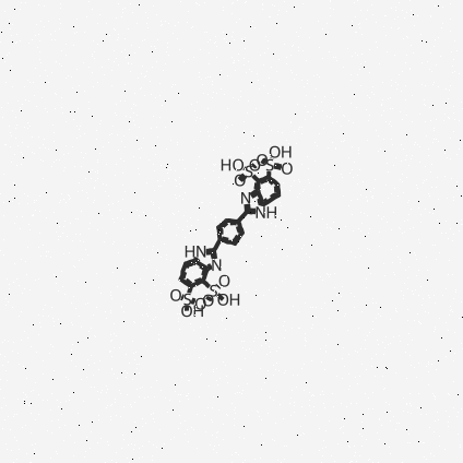 O=S(=O)(O)c1ccc2[nH]c(-c3ccc(-c4nc5c(S(=O)(=O)O)c(S(=O)(=O)O)ccc5[nH]4)cc3)nc2c1S(=O)(=O)O